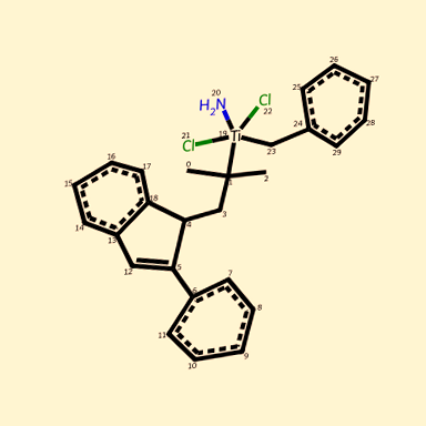 C[C](C)(CC1C(c2ccccc2)=Cc2ccccc21)[Ti]([NH2])([Cl])([Cl])[CH2]c1ccccc1